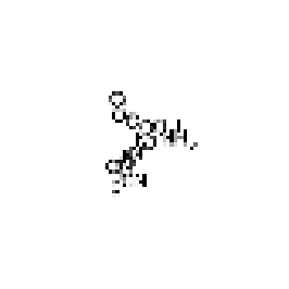 N#C/C(=C\C1CC1)C(=O)N1CC2[C@H]1CN2c1ccc(C(N)O)c(Oc2ccc(Oc3ccccc3)cc2)n1